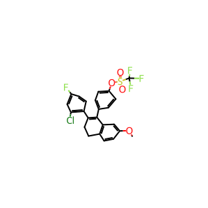 COc1ccc2c(c1)C(c1ccc(OS(=O)(=O)C(F)(F)F)cc1)=C(c1ccc(F)cc1Cl)CC2